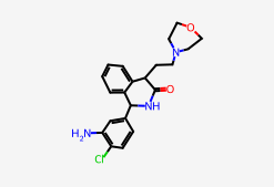 Nc1cc(C2NC(=O)C(CCN3CCOCC3)c3ccccc32)ccc1Cl